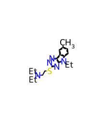 CCN(CC)CCSc1nnc2c3cc(C)ccc3n(CC)c2n1